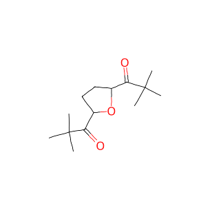 CC(C)(C)C(=O)C1CCC(C(=O)C(C)(C)C)O1